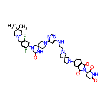 CC1(C)CCN(Cc2cc(F)c(N3CC(=O)NC4(CCN(c5cc(NCCN6CC[C@]7(CCN(c8ccc9c(c8)C(=O)N(C8CCC(=O)NC8=O)C9=O)C7)C6)ncn5)CC4)C3)cc2F)CC1